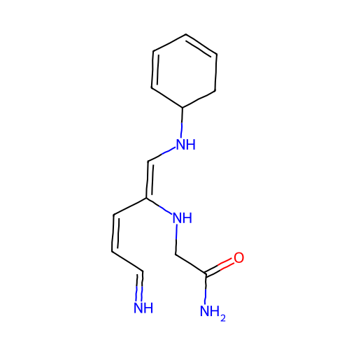 N=C/C=C\C(=C\NC1C=CC=CC1)NCC(N)=O